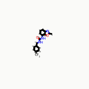 Cc1nc2cccc(NC(=O)NCc3ccc(C(F)(F)F)cc3)c2o1